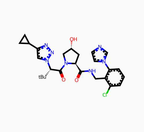 CC(C)(C)[C@@H](C(=O)N1C[C@H](O)C[C@H]1C(=O)NCc1c(Cl)cccc1-n1ccnc1)n1cc(C2CC2)nn1